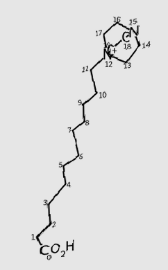 O=C(O)CCCCCCCCCCC[N+]12CCN(CC1)CC2